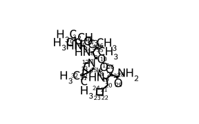 CC(C)(C)NC(=O)N[C@H](C(=O)N1CC2C([C@H]1C(=O)NC(CC1CCC1)C(=O)C(N)=O)C2(C)C)C(C)(C)C